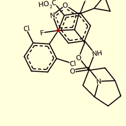 O=C(O)c1c(F)cc(NC(=O)N2C3CCC2CC(OCc2c(-c4c(Cl)cccc4Cl)noc2C2CC2)C3)cc1F